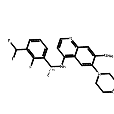 COc1cc2nccc(N[C@H](C)c3cccc(C(F)F)c3F)c2cc1N1CCOCC1